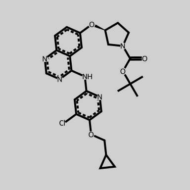 CC(C)(C)OC(=O)N1CC[C@H](Oc2ccc3ncnc(Nc4cc(Cl)c(OCC5CC5)cn4)c3c2)C1